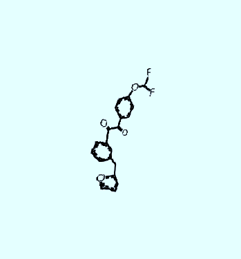 O=C(C(=O)c1cccc(Cc2ccco2)c1)c1ccc(OC(F)F)cc1